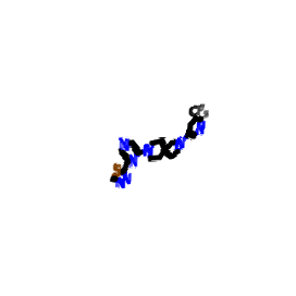 FC(F)(F)c1cncc(N2CCC3(CCN(c4cncc(-c5nncs5)n4)CC3)C2)c1